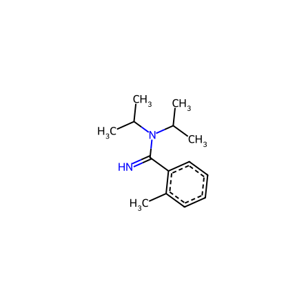 Cc1ccccc1C(=N)N(C(C)C)C(C)C